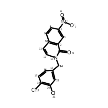 O=c1c2cc([N+](=O)[O-])ccc2ccn1Cc1ccc(Cl)c(Cl)c1